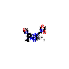 O=C1CCOCCN1CCCNc1nc(Nc2ccc(N3CCOCC3)cc2C2CC2)ncc1C(F)(F)F